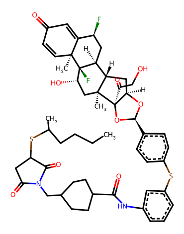 CCCCC(C)SC1CC(=O)N(CC2CCC(C(=O)Nc3cccc(Sc4ccc([C@@H]5O[C@@H]6C[C@H]7[C@@H]8C[C@H](F)C9=CC(=O)C=C[C@]9(C)[C@@]8(F)[C@@H](O)C[C@]7(C)[C@]6(C(=O)CO)O5)cc4)c3)CC2)C1=O